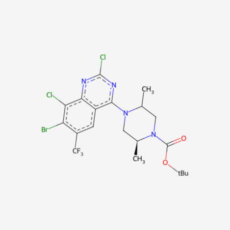 CC1CN(C(=O)OC(C)(C)C)[C@@H](C)CN1c1nc(Cl)nc2c(Cl)c(Br)c(C(F)(F)F)cc12